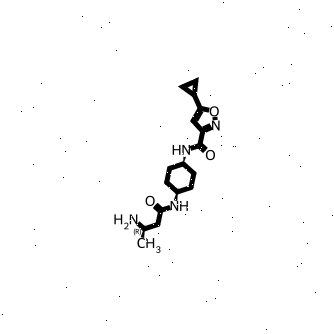 C[C@@H](N)CC(=O)N[C@H]1CC[C@H](NC(=O)c2cc(C3CC3)on2)CC1